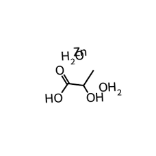 CC(O)C(=O)O.O.O.[Zn]